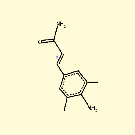 Cc1cc(/C=C/C(N)=O)cc(C)c1N